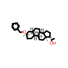 CC(O)[C@H]1CC[C@H]2[C@@H]3CC[C@@H]4C[C@](C)(OCc5ccccc5)CC[C@@H]4[C@H]3CC[C@]12C